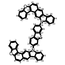 c1ccc2c(c1)oc1ccc3cc4c5ccccc5n(-c5ccc6c(c5)sc5cc(-n7c8ccccc8c8cc9ccc%10oc%11ccccc%11c%10c9cc87)ccc56)c4cc3c12